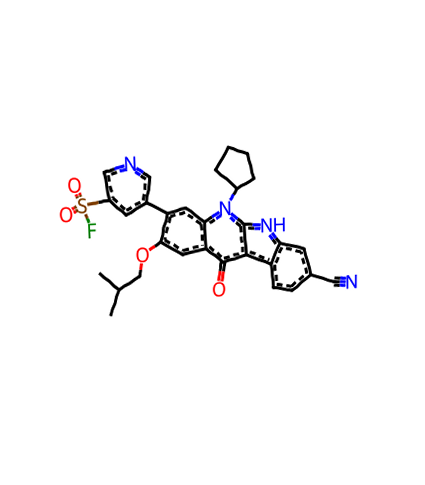 CC(C)COc1cc2c(=O)c3c4ccc(C#N)cc4[nH]c3n(C3CCCC3)c2cc1-c1cncc(S(=O)(=O)F)c1